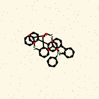 c1ccc(-c2cccc3c2C2(c4ccccc4S3)c3ccccc3Sc3cccc(-c4cccc5c6ccccc6n(-c6ccccc6)c45)c32)cc1